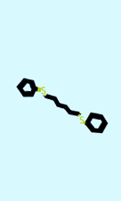 [CH](CCCC[CH]Sc1ccccc1)Sc1ccccc1